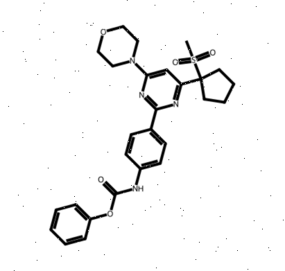 CS(=O)(=O)C1(c2cc(N3CCOCC3)nc(-c3ccc(NC(=O)Oc4ccccc4)cc3)n2)CCCC1